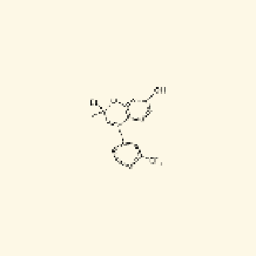 CCC1(C)C=C(c2cccc(C(F)(F)F)c2)c2ccc(O)cc2O1